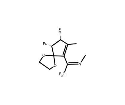 C/N=C(\C1=C(C)[C@@H](F)[C@@H](F)C12OCCO2)C(F)(F)F